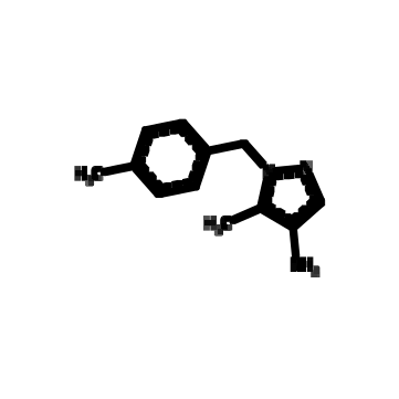 Cc1ccc(Cn2ncc(N)c2C)cc1